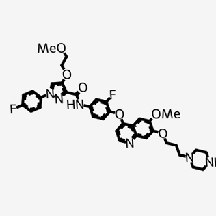 COCCOc1cn(-c2ccc(F)cc2)nc1C(=O)Nc1ccc(Oc2ccnc3cc(OCCCN4CCNCC4)c(OC)cc23)c(F)c1